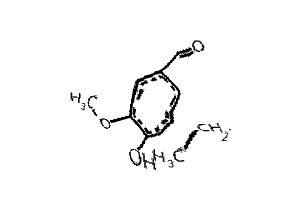 COc1cc(C=O)ccc1O.[CH2]C